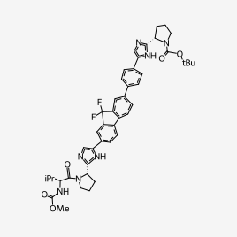 COC(=O)N[C@H](C(=O)N1CCC[C@H]1c1ncc(-c2ccc3c(c2)C(F)(F)c2cc(-c4ccc(-c5cnc([C@@H]6CCCN6C(=O)OC(C)(C)C)[nH]5)cc4)ccc2-3)[nH]1)C(C)C